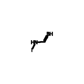 B=CNI